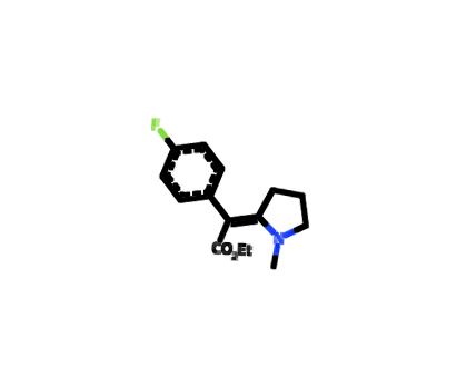 CCOC(=O)C(=C1CCCN1C)c1ccc(F)cc1